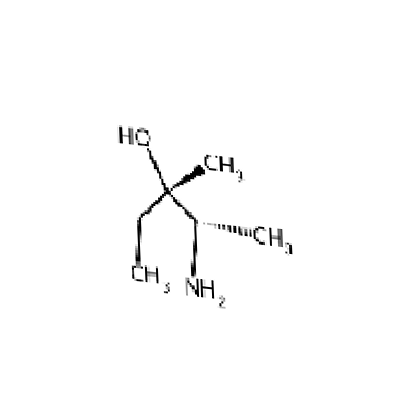 CC[C@](C)(O)[C@H](C)N